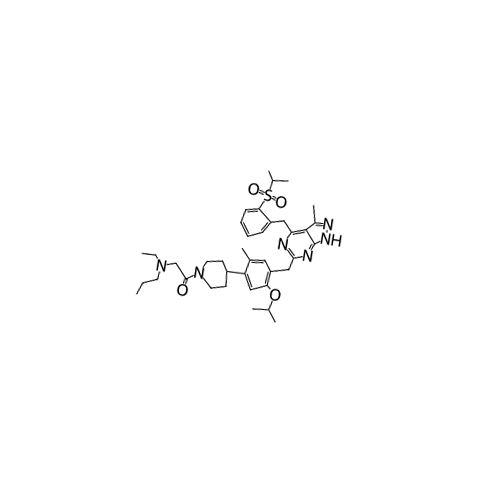 CCCN(CC)CC(=O)N1CCC(c2cc(OC(C)C)c(Cc3nc(Cc4ccccc4S(=O)(=O)C(C)C)c4c(C)n[nH]c4n3)cc2C)CC1